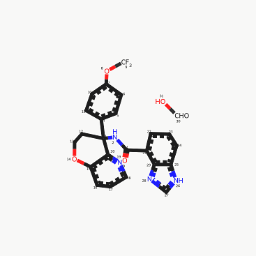 O=C(NC1(c2ccc(OC(F)(F)F)cc2)CCOc2cccnc21)c1cccc2[nH]cnc12.O=CO